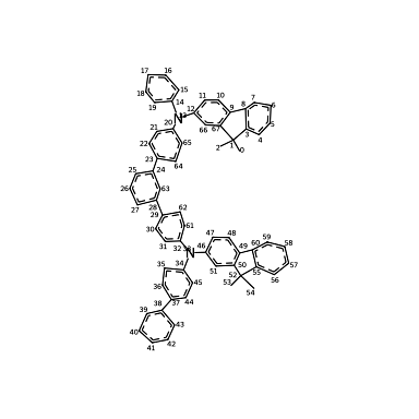 CC1(C)c2ccccc2-c2ccc(N(c3ccccc3)c3ccc(-c4cccc(-c5ccc(N(c6ccc(-c7ccccc7)cc6)c6ccc7c(c6)C(C)(C)c6ccccc6-7)cc5)c4)cc3)cc21